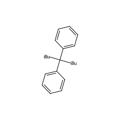 CCC(C)C(c1ccccc1)(c1ccccc1)C(C)CC